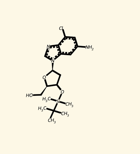 CC(C)(C)[Si](C)(C)OC1C[C@H](n2cnc3c(Cl)cc(N)cc32)O[C@@H]1CO